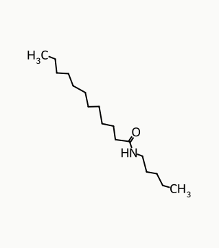 CCCCCCCCCCCC(=O)NCCCCC